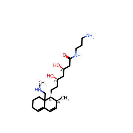 CNCC12CCCC=C1C=C[C@H](C)[C@@H]2CC[C@@H](O)C[C@@H](O)CC(=O)NCCCN